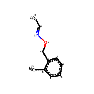 CCC/[C]=N/OCc1ccccc1C#N